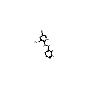 COc1nc(Br)cnc1OCc1ccccc1